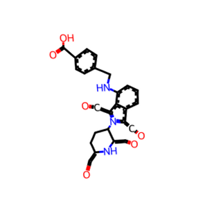 O=C=C1CCC(n2c(=C=O)c3cccc(NCc4ccc(C(=O)O)cc4)c3c2=C=O)C(=C=O)N1